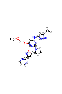 COCCOc1cc(Nc2cc(C3CC3)[nH]n2)nc(N2CCC[C@H]2c2cc(-c3ncccn3)no2)n1